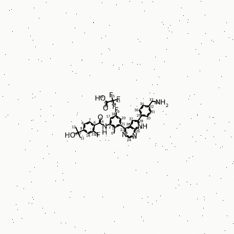 Cc1c(NC(=O)c2ccc(C(C)(C)O)cc2F)cc(F)cc1-c1ncnc2[nH]c(-c3ccc(CN)cc3)cc12.O=C(O)C(F)(F)F